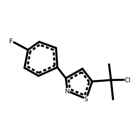 CC(C)(Cl)c1cc(-c2ccc(F)cc2)ns1